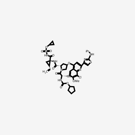 C=C[C@@H]1C[C@]1(NC(=O)[C@@H]1C[C@@H](Oc2cc(-c3csc(NC(C)C)n3)nc3c(Cl)c(OC)ccc23)CN1C(=O)[C@@H](NC(=O)OC1CCCC1)C(C)(C)C)C(=O)NS(=O)(=O)OC1CC1